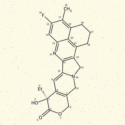 CC[C@@]1(O)C(=O)OCC2=C1C=C1c3nc4cc(F)c(C)c5c4c(c3CN1C2)CCC5